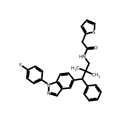 CC(C)(CNC(=O)Cc1cccs1)C(c1ccccc1)c1ccc2c(cnn2-c2ccc(F)cc2)c1